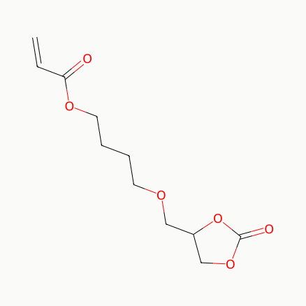 C=CC(=O)OCCCCOCC1COC(=O)O1